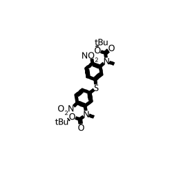 CN(C(=O)OC(C)(C)C)c1cc(Sc2ccc([N+](=O)[O-])c(N(C)C(=O)OC(C)(C)C)c2)ccc1[N+](=O)[O-]